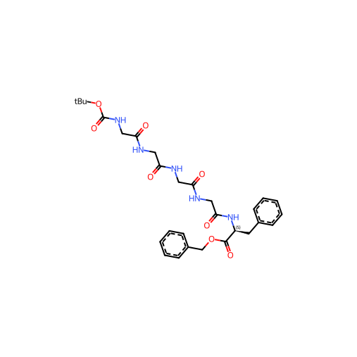 CC(C)(C)OC(=O)NCC(=O)NCC(=O)NCC(=O)NCC(=O)N[C@@H](Cc1ccccc1)C(=O)OCc1ccccc1